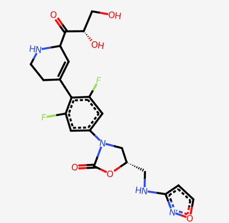 O=C(C1C=C(c2c(F)cc(N3C[C@H](CNc4ccon4)OC3=O)cc2F)CCN1)[C@@H](O)CO